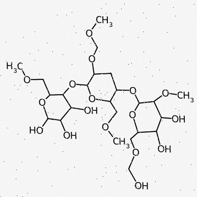 COCOC1CC(OC2OC(COCO)C(O)C(O)C2OC)C(COC)OC1OC1C(COC)OC(O)C(O)C1O